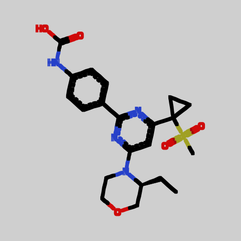 CC[C@H]1COCCN1c1cc(C2(S(C)(=O)=O)CC2)nc(-c2ccc(NC(=O)O)cc2)n1